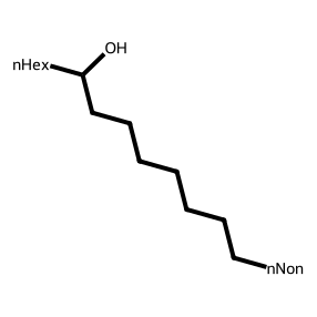 CCCCCCCCCCCCCCCCC(O)CCCCCC